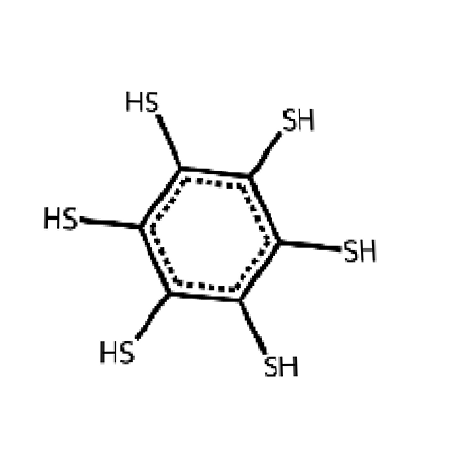 Sc1c(S)c(S)c(S)c(S)c1S